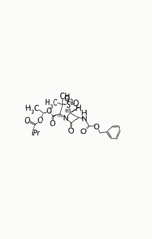 CC(OC(=O)C(C)C)OC(=O)[C@@H]1N2C(=O)C(NC(=O)OCc3ccccc3)[C@H]2S(=O)(=O)C1(C)C